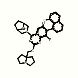 Fc1c(-c2cccc3cccc(Cl)c23)c(Cl)cc2c(N3CC4CCC(C3)N4)nc(OCC34CCCN3CCC4)nc12